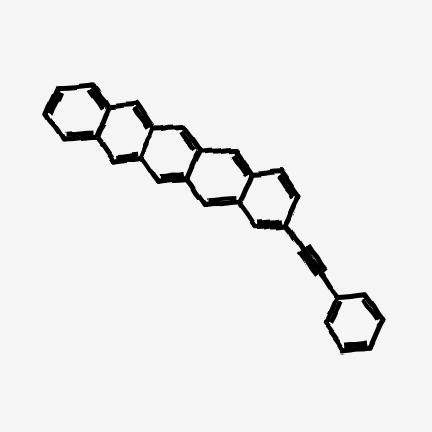 C(#Cc1ccc2cc3cc4cc5ccccc5cc4cc3cc2c1)c1ccccc1